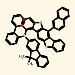 CC1(C)c2ccccc2-c2ccc(N(c3ccccc3-c3ccccc3)c3cccc4oc5c(-c6ccc7ccccc7c6)c6c(cc5c34)oc3ccccc36)cc21